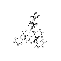 C1CCC([PH+](CCC[PH+](C2CCCCC2)C2CCCCC2)C2CCCCC2)CC1.F[B-](F)(F)F.F[B-](F)(F)F